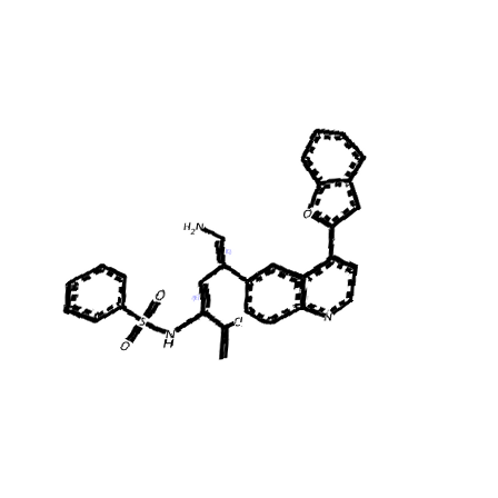 C=C(Cl)/C(=C\C(=C/N)c1ccc2nccc(-c3cc4ccccc4o3)c2c1)NS(=O)(=O)c1ccccc1